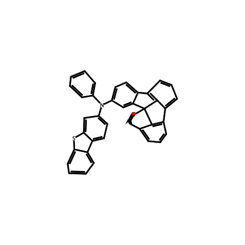 c1ccc(N(c2ccc3c(c2)C24c5ccccc5-c5cccc(c52)-c2cccc-3c24)c2ccc3c(c2)sc2ccccc23)cc1